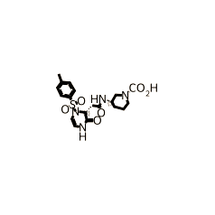 Cc1ccc(S(=O)(=O)N2C=CNC(=O)[C@H]2CC(=O)N[C@H]2CCCN(C(=O)O)C2)cc1